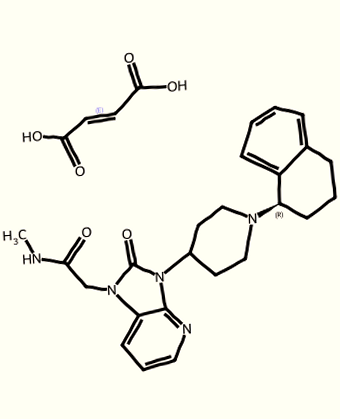 CNC(=O)Cn1c(=O)n(C2CCN([C@@H]3CCCc4ccccc43)CC2)c2ncccc21.O=C(O)/C=C/C(=O)O